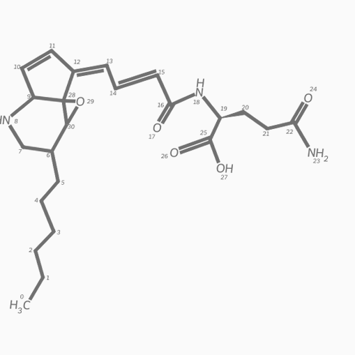 CCCCCCC1CNC2C=C/C(=C/C=C/C(=O)N[C@@H](CCC(N)=O)C(=O)O)C23OC13